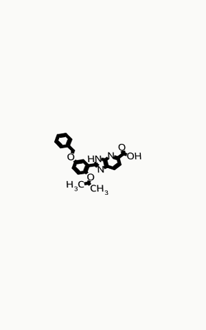 CC(C)Oc1ccc(OCc2ccccc2)cc1-c1nc2ccc(C(=O)O)nc2[nH]1